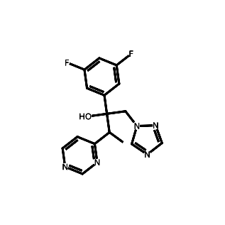 CC(c1ccncn1)C(O)(Cn1cncn1)c1cc(F)cc(F)c1